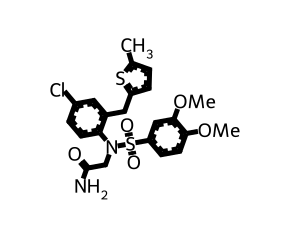 COc1ccc(S(=O)(=O)N(CC(N)=O)c2ccc(Cl)cc2Cc2ccc(C)s2)cc1OC